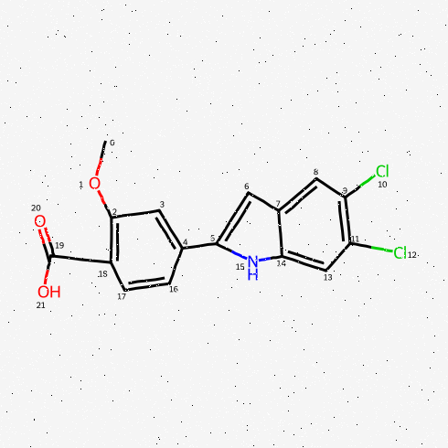 COc1cc(-c2cc3cc(Cl)c(Cl)cc3[nH]2)ccc1C(=O)O